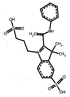 C=C(Nc1ccccc1)C1=[N+](CCCS(=O)(=O)O)c2ccc(S(=O)(=O)O)cc2C1(C)C